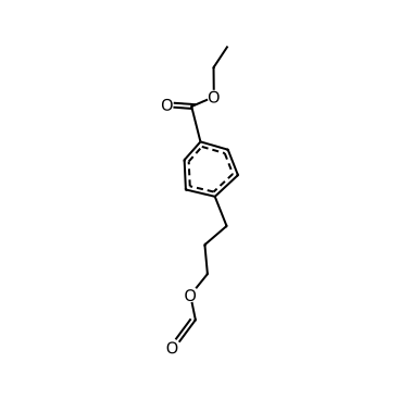 CCOC(=O)c1ccc(CCCOC=O)cc1